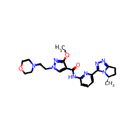 COc1nn(CCN2CCOCC2)cc1C(=O)Nc1cccc(-c2nnc3n2[C@@H](C)CC3)n1